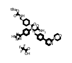 CC(C)(C)OC(=O)NC[C@H]1CC[C@H](C(=O)N(c2ccc(-c3nn[nH]n3)cc2)[C@@H](Cc2ccc(-c3ccnc(N4CCOCC4)c3)cc2)C(N)=O)CC1.O=C(O)C(F)(F)F